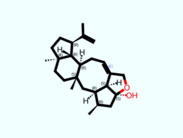 C=C(C)[C@@H]1CC[C@]2(C)CC[C@@]3(C)C[C@@H]4[C@H](C)C[C@]5(O)OC/C(=C/C[C@@H]3[C@@H]12)[C@H]45